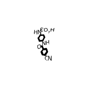 N#Cc1ccc(C(=O)N[C@H]2CC[C@H](NC(=O)O)CC2)cc1